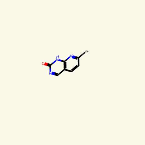 CC(C)c1ccc2cnc(=O)[nH]c2n1